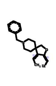 C/C=C1\C(=C/CC)OCC12CCN(Cc1ccccc1)CC2